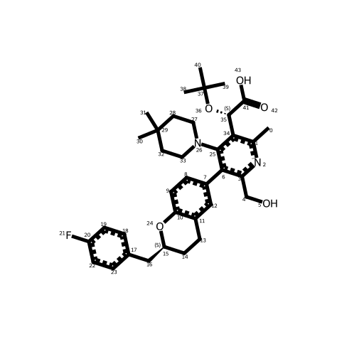 Cc1nc(CO)c(-c2ccc3c(c2)CC[C@@H](Cc2ccc(F)cc2)O3)c(N2CCC(C)(C)CC2)c1[C@H](OC(C)(C)C)C(=O)O